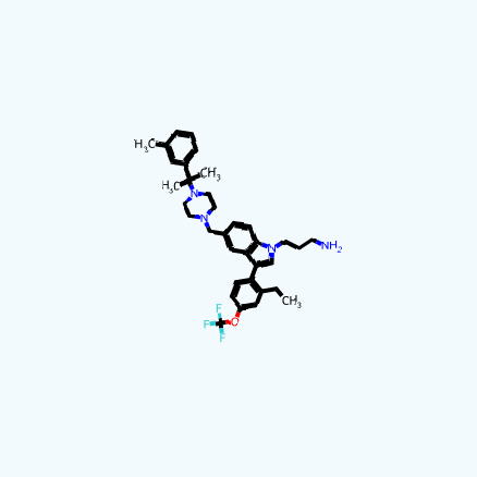 CCc1cc(OC(F)(F)F)ccc1-c1cn(CCCN)c2ccc(CN3CCN(C(C)(C)c4cccc(C)c4)CC3)cc12